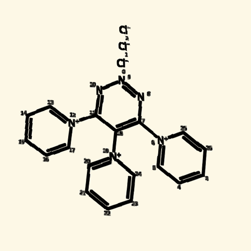 [Cl-].[Cl-].[Cl-].c1cc[n+](-c2nnnc(-[n+]3ccccc3)c2-[n+]2ccccc2)cc1